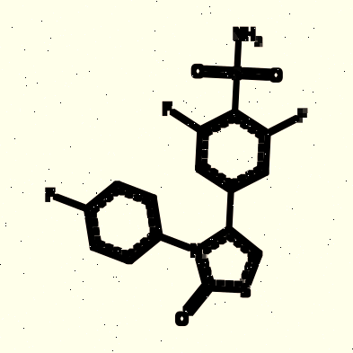 NS(=O)(=O)c1c(F)cc(-c2csc(=O)n2-c2ccc(F)cc2)cc1F